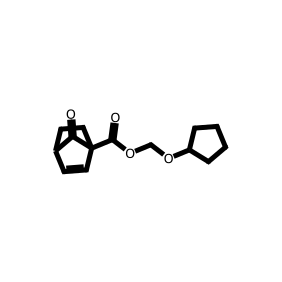 O=C(OCOC1CCCC1)C12C=CC(CC1)C2=O